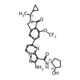 C[C@@H](C1CC1)N1Cc2cc(-c3ccn4nc(N)c(C(=O)N[C@@H]5CCC[C@H]5O)c4n3)cc(OC(F)(F)F)c2C1=O